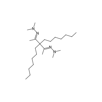 CCCCCCCC(CCCCCCC)(/C(C)=N/N(C)C)/C(C)=N/N(C)C